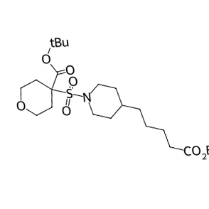 CCOC(=O)CCCCC1CCN(S(=O)(=O)C2(C(=O)OC(C)(C)C)CCOCC2)CC1